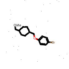 COCC1CCC(COc2ccc(Br)cc2)CC1